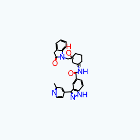 Cc1cc(-c2n[nH]c3ccc(C(=O)N[C@@H]4CCC[C@@](O)(CN5C(=O)Cc6ccccc65)C4)cc23)ccn1